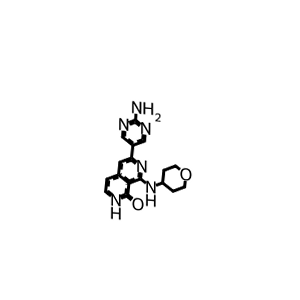 Nc1ncc(-c2cc3cc[nH]c(=O)c3c(NC3CCOCC3)n2)cn1